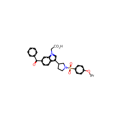 CC(C)Oc1ccc(S(=O)(=O)N2CCC(c3cn(CC(=O)O)c4cc(C(=O)c5ccccc5)ccc34)C2)cc1